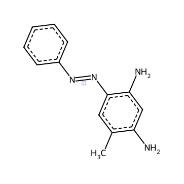 Cc1cc(/N=N/c2ccccc2)c(N)cc1N